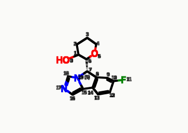 OC1CCCOC1[C@@H]1c2cc(F)ccc2-c2cncn21